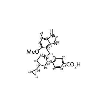 COc1cc(C)c2[nH]cnc2c1CN1CCC(C2CC2)CC1c1ccc(C(=O)O)cc1